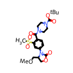 COCC1COC(=O)N1c1ccc(C(=O)N2CCN(C(=O)OC(C)(C)C)CC2)c(S(C)(=O)=O)c1